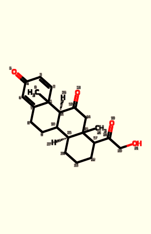 CC12C=CC(=O)C=C1CCC1[C@@H]2C(=O)CC2(C)C(C(=O)CO)CCC[C@@H]12